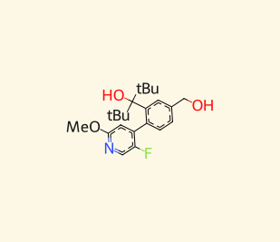 COc1cc(-c2ccc(CO)cc2C(O)(C(C)(C)C)C(C)(C)C)c(F)cn1